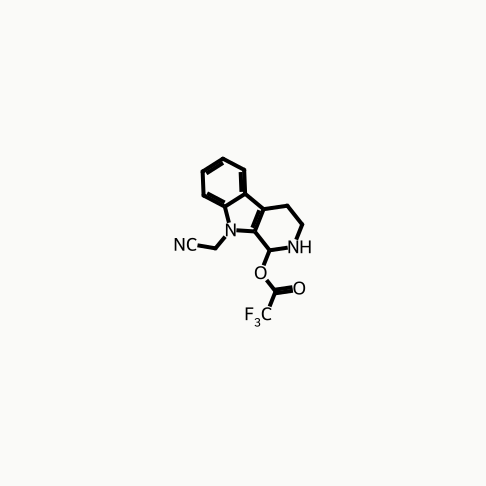 N#CCn1c2c(c3ccccc31)CCNC2OC(=O)C(F)(F)F